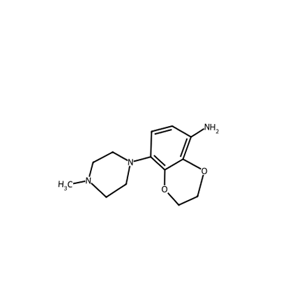 CN1CCN(c2ccc(N)c3c2OCCO3)CC1